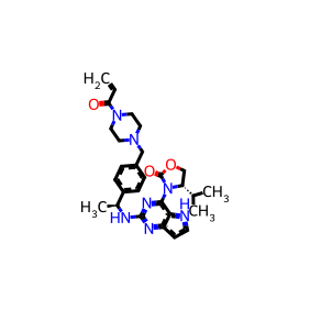 C=CC(=O)N1CCN(Cc2ccc([C@H](C)Nc3nc(N4C(=O)OC[C@@H]4C(C)C)c4[nH]ccc4n3)cc2)CC1